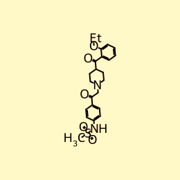 CCOc1ccccc1C(=O)C1CCN(CC(=O)c2ccc(NS(C)(=O)=O)cc2)CC1